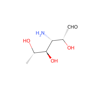 C[C@H](O)[C@H](O)[C@H](N)[C@@H](O)C=O